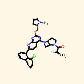 C=C(F)C(=O)N1CCC2C1CN2c1nc(OC[C@@H]2CCCN2C)nc2nc(-c3cccc4cccc(Cl)c34)ccc12